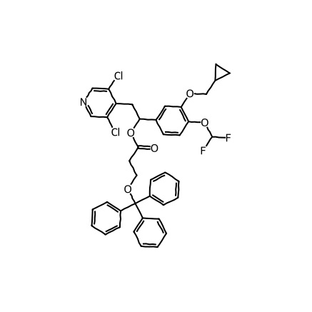 O=C(CCOC(c1ccccc1)(c1ccccc1)c1ccccc1)OC(Cc1c(Cl)cncc1Cl)c1ccc(OC(F)F)c(OCC2CC2)c1